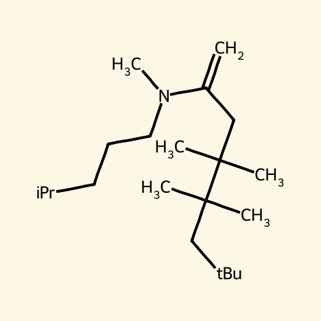 C=C(CC(C)(C)C(C)(C)CC(C)(C)C)N(C)CCCC(C)C